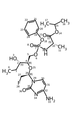 CC[C@H](O)[C@@H](COP(=O)(N[C@@H](C)C(=O)OC(C)C)Oc1ccccc1)O[C@H](CF)n1ccc(N)nc1=O